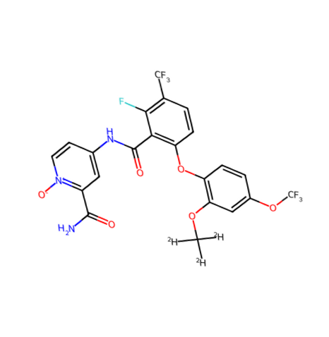 [2H]C([2H])([2H])Oc1cc(OC(F)(F)F)ccc1Oc1ccc(C(F)(F)F)c(F)c1C(=O)Nc1cc[n+]([O-])c(C(N)=O)c1